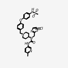 Cc1ccc(NC(=O)N(Cc2nccs2)C2CCN(Cc3ccc(Oc4ccc(NS(C)(=O)=O)cc4)cc3)CC2)cn1.Cl.Cl